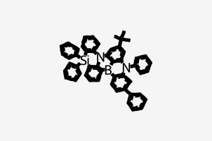 CC(C)(C)c1cc2c3c(c1)N1c4ccccc4[Si](c4ccccc4)(c4ccccc4)c4cccc(c41)B3c1ccc(-c3ccccc3)cc1N2c1ccccc1